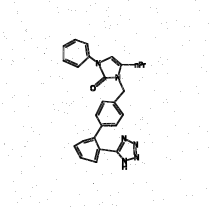 CCCc1cn(-c2ccccc2)c(=O)n1Cc1ccc(-c2ccccc2-c2nnn[nH]2)cc1